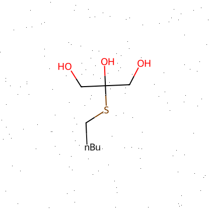 CCCCCSC(O)(CO)CO